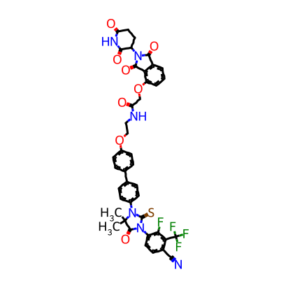 CC1(C)C(=O)N(c2ccc(C#N)c(C(F)(F)F)c2F)C(=S)N1c1ccc(-c2ccc(OCCNC(=O)COc3cccc4c3C(=O)N(C3CCC(=O)NC3=O)C4=O)cc2)cc1